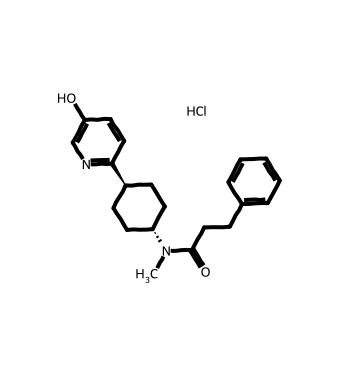 CN(C(=O)CCc1ccccc1)[C@H]1CC[C@H](c2ccc(O)cn2)CC1.Cl